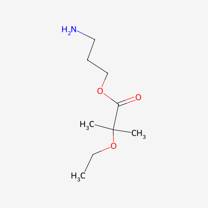 CCOC(C)(C)C(=O)OCCCN